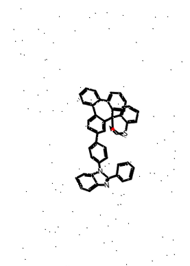 c1ccc(-c2nc3ccccc3n2-c2ccc(-c3ccc4c(c3)C3(c5ccccc5Sc5ccccc53)c3ccccc3-c3ccccc3-4)cc2)cc1